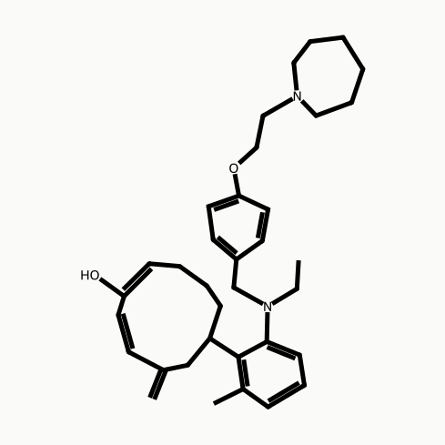 C=C1/C=C\C(O)=C/CCCC(c2c(C)cccc2N(CC)Cc2ccc(OCCN3CCCCCC3)cc2)C1